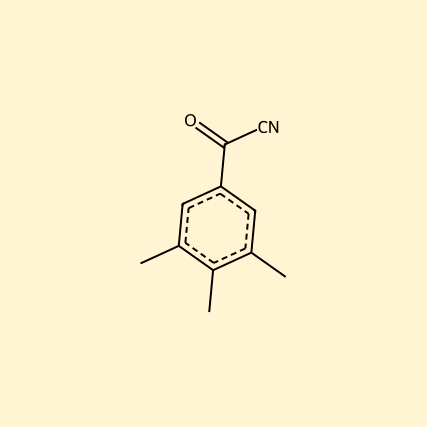 Cc1cc(C(=O)C#N)cc(C)c1C